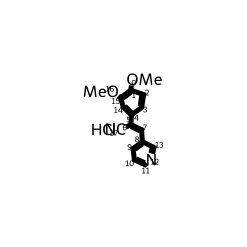 COc1ccc(C(C#N)=Cc2cccnc2)cc1OC.Cl